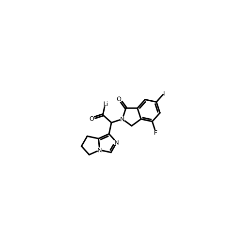 [Li][C](=O)C(c1ncn2c1CCC2)N1Cc2c(F)cc(I)cc2C1=O